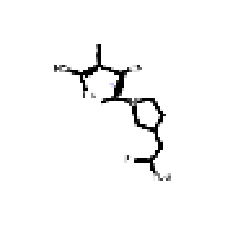 CCCCC(CC)CC1CCN(/C(C)=C(\C#N)C(C)=C(C#N)C#N)C1